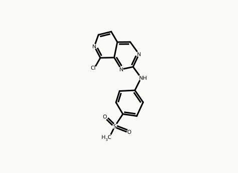 CS(=O)(=O)c1ccc(Nc2ncc3ccnc(Cl)c3n2)cc1